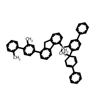 Cc1ccccc1-c1ccc(-c2cccc3c2Cc2cccc(N(C)c4cc(-c5ccccc5)ccc4C4(C)C=CC(c5ccccc5)=CC4)c2-3)cc1C